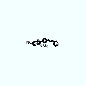 CNc1c(-c2ccc(CCCc3cccnc3)cc2)nc2cc(C#N)ccn12